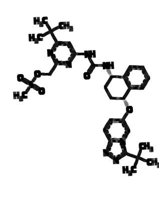 CC(C)(C)c1cc(NC(=O)N[C@H]2CC[C@@H](Oc3ccc4nnc(C(C)(C)C)n4c3)c3ccccc32)nc(COS(C)(=O)=O)n1